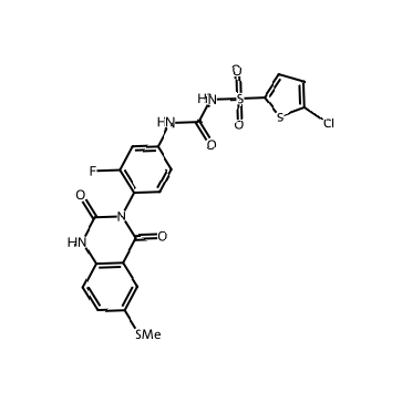 CSc1ccc2[nH]c(=O)n(-c3ccc(NC(=O)NS(=O)(=O)c4ccc(Cl)s4)cc3F)c(=O)c2c1